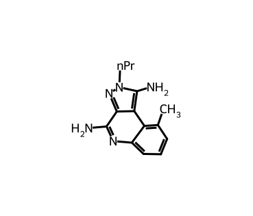 CCCn1nc2c(N)nc3cccc(C)c3c2c1N